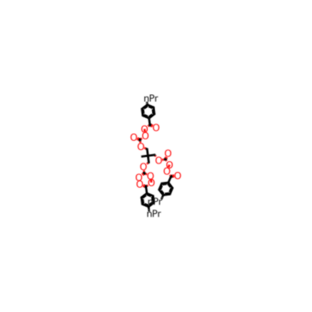 CCCc1ccc(C(=O)OOC(=O)OCC(C)(COC(=O)OOC(=O)c2ccc(CCC)cc2)COC(=O)OOC(=O)c2ccc(CCC)cc2)cc1